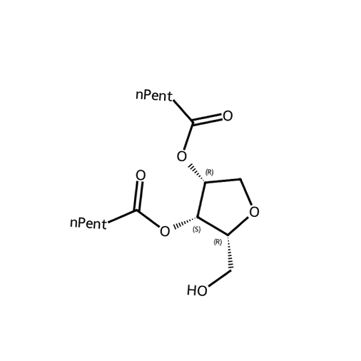 CCCCCC(=O)O[C@H]1[C@@H](CO)OC[C@H]1OC(=O)CCCCC